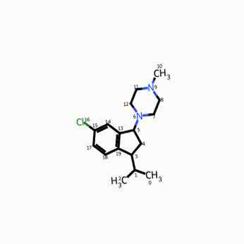 CC(C)C1CC(N2CCN(C)CC2)c2cc(Cl)ccc21